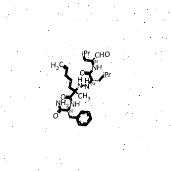 C=CCCC[C@](C)(NN[C@@H](CC(C)C)C(=O)N[C@H](C=O)CC(C)C)C(=O)N[C@@H](Cc1ccccc1)C(N)=O